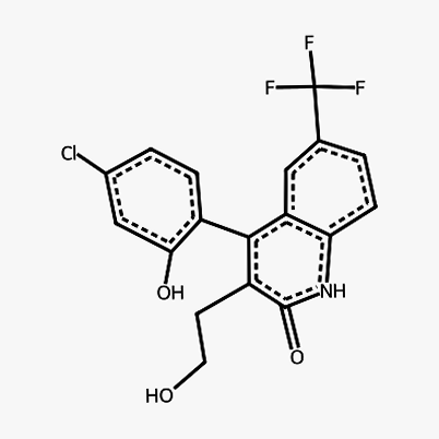 O=c1[nH]c2ccc(C(F)(F)F)cc2c(-c2ccc(Cl)cc2O)c1CCO